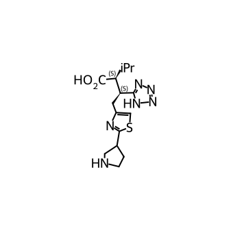 CC(C)[C@H](C(=O)O)[C@H](Cc1csc(C2CCNC2)n1)c1nnn[nH]1